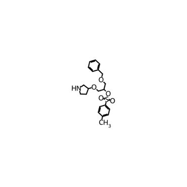 Cc1ccc(S(=O)(=O)OC(COCc2ccccc2)COC2CCNC2)cc1